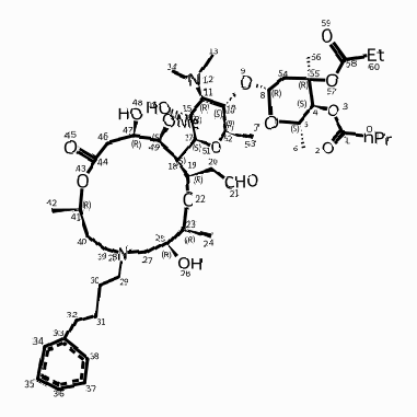 CCCC(=O)O[C@H]1[C@H](C)O[C@H](O[C@H]2[C@H](N(C)C)[C@@H](O)[C@H]([C@H]3[C@@H](CC=O)C[C@@H](C)[C@@H](O)CN(CCCCc4ccccc4)CC[C@@H](C)OC(=O)C[C@@H](O)[C@H]3OC)O[C@@H]2C)C[C@@]1(C)OC(=O)CC